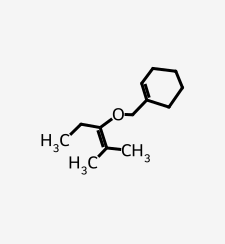 CCC(OCC1=CCCCC1)=C(C)C